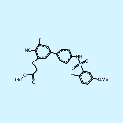 COc1ccc(F)c(S(=O)(=O)Nc2ccc(-c3cc(F)c(C#N)c(OCC(=O)OC(C)(C)C)c3)cc2)c1